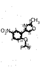 Cc1nc(-c2cc([N+](=O)[O-])ccc2OC(F)F)co1